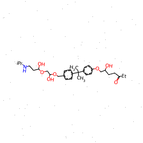 CCC(=O)CCC(O)COc1ccc(C(C)(C)c2ccc(COC(O)COC(O)CCNC(C)C)cc2)cc1